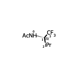 CC(=O)N[C@@H](C(C)C)C(F)(F)F